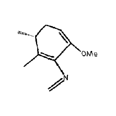 C=NC1=C(C)[C@H](C)CC=C1OC